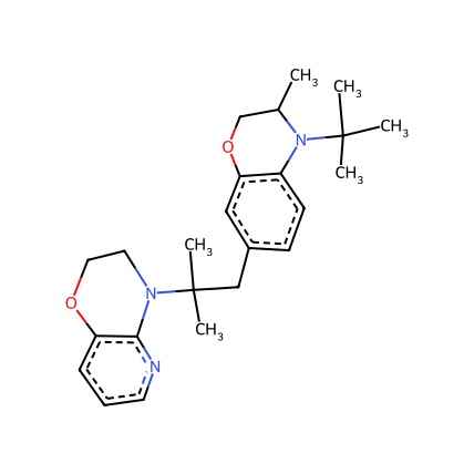 CC1COc2cc(CC(C)(C)N3CCOc4cccnc43)ccc2N1C(C)(C)C